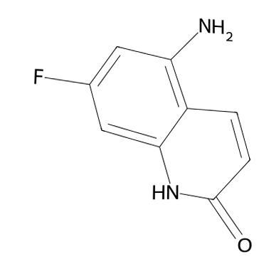 Nc1cc(F)cc2[nH]c(=O)ccc12